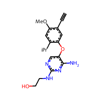 C#Cc1cc(Oc2cnc(NCCO)nc2N)c(C(C)C)cc1OC